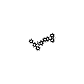 c1ccc(-c2ccc(-c3ccccc3)c(-n3nc4ccc(-c5ccc6ccc(-c7cccc8oc9ccccc9c78)cc6c5)cc4n3)c2)cc1